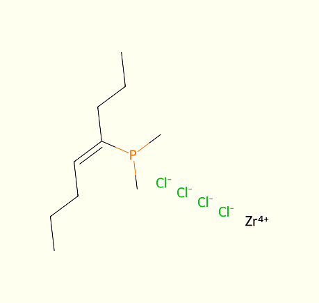 CCCC=C(CCC)P(C)C.[Cl-].[Cl-].[Cl-].[Cl-].[Zr+4]